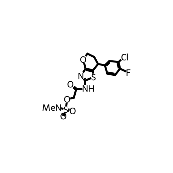 CNS(=O)(=O)OCC(=O)Nc1nc2c(s1)C(c1ccc(F)c(Cl)c1)CCO2